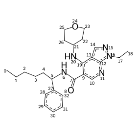 CCCCCC(NC(=O)c1cnc2c(cnn2CC)c1NC1CCOCC1)c1ccccc1